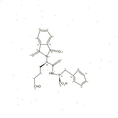 O=CCCC[C@H](C(=O)N[C@@H](Cc1ccccc1)C(=O)O)N1C(=O)c2ccccc2C1=O